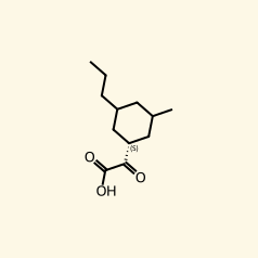 CCCC1CC(C)C[C@H](C(=O)C(=O)O)C1